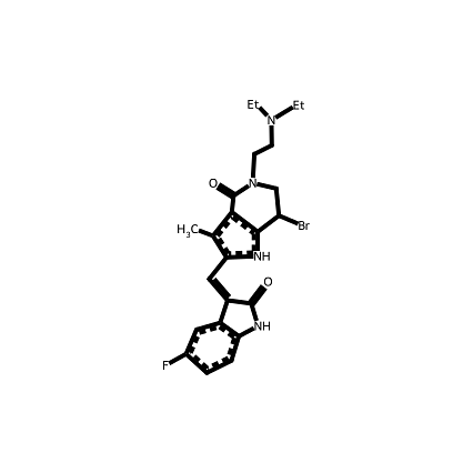 CCN(CC)CCN1CC(Br)c2[nH]c(/C=C3\C(=O)Nc4ccc(F)cc43)c(C)c2C1=O